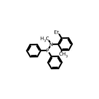 CCc1cccc(C)c1N(C)P(c1ccccc1)c1ccccc1